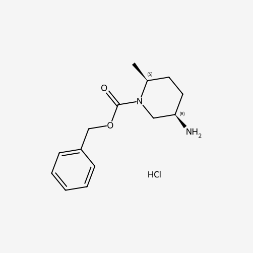 C[C@H]1CC[C@@H](N)CN1C(=O)OCc1ccccc1.Cl